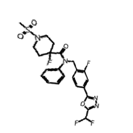 CS(=O)(=O)N1CCC(F)(C(=O)N(Cc2ccc(-c3nnc(C(F)F)o3)cc2F)c2ccccc2)CC1